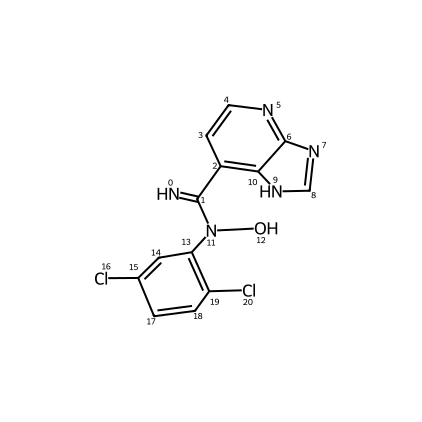 N=C(c1ccnc2nc[nH]c12)N(O)c1cc(Cl)ccc1Cl